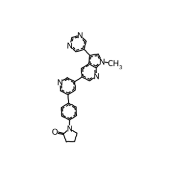 Cn1cc(-c2cncnc2)c2cc(-c3cncc(-c4ccc(N5CCCC5=O)cc4)c3)cnc21